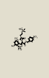 CCS[C@@H]1[C@@H](CCO[Si](C)(C)C(C)(C)C)C(=O)N1C(C(=O)OCc1ccc([N+](=O)[O-])cc1)=C(OS(C)(=O)=O)c1cccc(C#N)c1